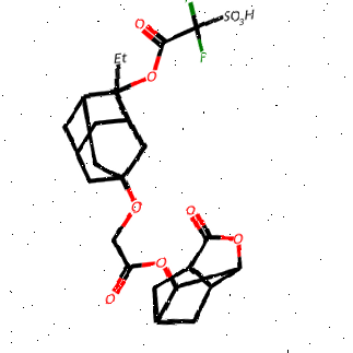 CCC1(OC(=O)C(F)(F)S(=O)(=O)O)C2CC3CC1CC(OCC(=O)OC1C4CC5C(=O)OC1C5C4)(C3)C2